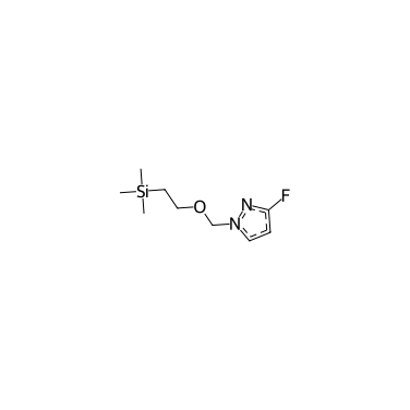 C[Si](C)(C)CCOCn1ccc(F)n1